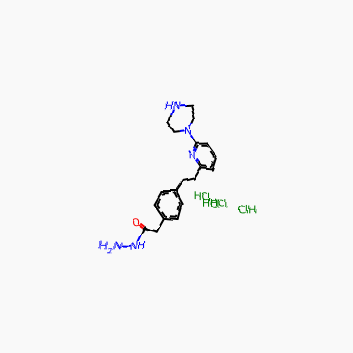 Cl.Cl.Cl.Cl.NNC(=O)Cc1ccc(CCc2cccc(N3CCNCC3)n2)cc1